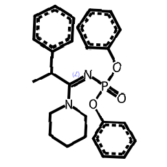 CC(/C(=N/P(=O)(Oc1ccccc1)Oc1ccccc1)N1CCCCC1)c1ccccc1